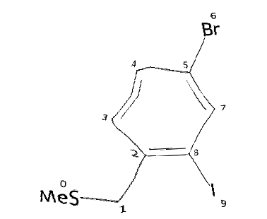 CSCc1ccc(Br)cc1I